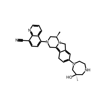 C[C@@H]1CN(c2ccc(C#N)c3ncccc23)CC2=C3CC=C(N4CCNC[C@@](C)(O)C4)C=C3CN21